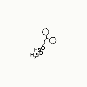 [SiH3]O[SiH]OCCCC(C1CCCCCC1)C1CCCCCC1